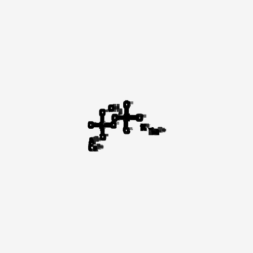 O.[Al+3].[Ba+2].[Ca+2].[K+].[O-][Si]([O-])([O-])[O-].[O-][Si]([O-])([O-])[O-]